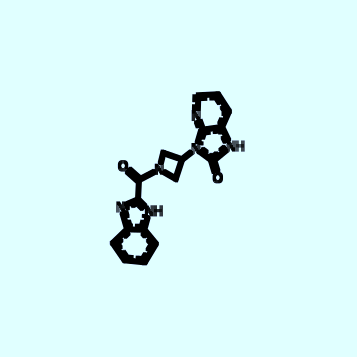 O=C(c1nc2ccccc2[nH]1)N1CC(n2c(=O)[nH]c3cccnc32)C1